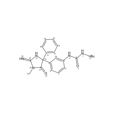 CCCCNC(=O)Nc1cccc(C2(c3ccccc3)NC(=N)N(C)C2=O)c1